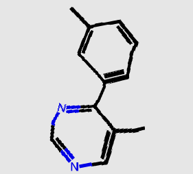 Cc1cccc(-c2ncncc2C)c1